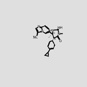 CN1C(=N)N[C@](C)(c2ccc3ncc(C#N)n3c2)[C@@H](C2C=CC(C3CC3)=CC2)C1=O